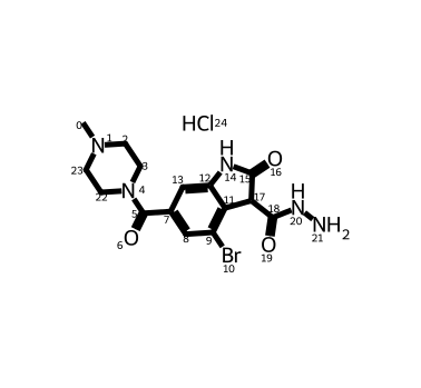 CN1CCN(C(=O)c2cc(Br)c3c(c2)NC(=O)C3C(=O)NN)CC1.Cl